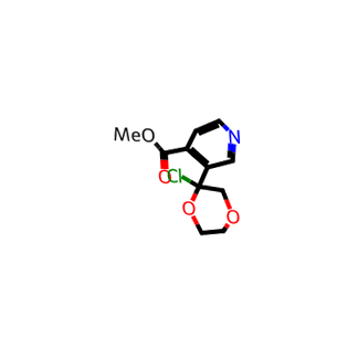 COC(=O)c1ccncc1C1(Cl)COCCO1